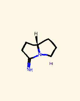 I.N=C1CC[C@@H]2CCCN12